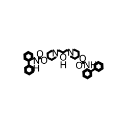 O=C(Nc1ccccc1-c1ccccc1)OC1CCN(CC(O)CN2CCC(OC(=O)Nc3ccccc3-c3ccccc3)CC2)CC1